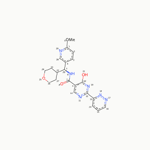 COc1ccc([C@@H](NC(=O)c2cnc(-c3cccnn3)nc2O)C2CCOCC2)cn1